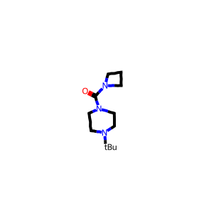 CC(C)(C)N1CCN(C(=O)N2CCC2)CC1